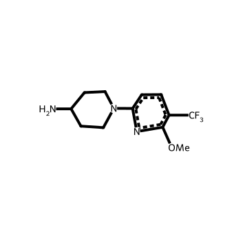 COc1nc(N2CCC(N)CC2)ccc1C(F)(F)F